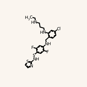 CCNCCCNc1cc(Cl)ccc1CNc1cc(F)c(SNc2nccs2)cc1F